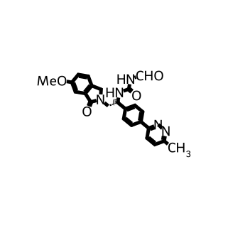 COc1ccc2c(c1)C(=O)N(C[C@H](NC(=O)NC=O)c1ccc(-c3ccc(C)nn3)cc1)C2